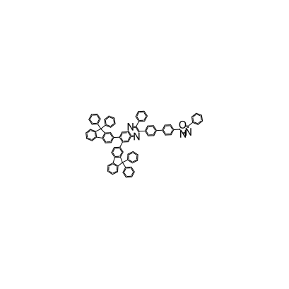 c1ccc(-c2nnc(-c3ccc(-c4ccc(-c5nc6cc(-c7ccc8c(c7)C(c7ccccc7)(c7ccccc7)c7ccccc7-8)c(-c7ccc8c(c7)C(c7ccccc7)(c7ccccc7)c7ccccc7-8)cc6nc5-c5ccccc5)cc4)cc3)o2)cc1